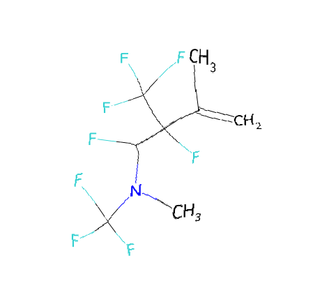 C=C(C)C(F)(C(F)N(C)C(F)(F)F)C(F)(F)F